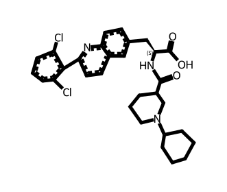 O=C(N[C@@H](Cc1ccc2nc(-c3c(Cl)cccc3Cl)ccc2c1)C(=O)O)C1CCCN(C2CCCCC2)C1